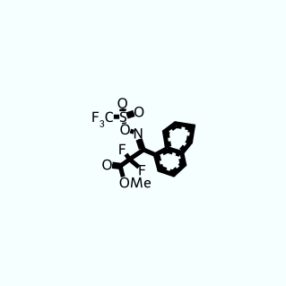 COC(=O)C(F)(F)C(=NOS(=O)(=O)C(F)(F)F)c1cccc2ccccc12